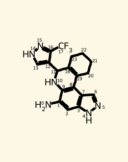 Nc1cc2[nH]ncc2c2c1NC(c1c[nH]nc1C(F)(F)F)C1=C2CCCC1